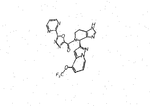 O=C(c1nnc(-c2ncccn2)o1)N1CCc2[nH]cnc2[C@H]1c1cc2c(OC(F)(F)F)cccn2n1